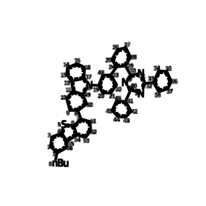 CCCCc1ccc2sc3c(-c4ccc5c6ccccc6n(-c6cccc(-c7ccccc7-c7nc(-c8ccccc8)nc(-c8ccccc8)n7)c6)c5c4)cccc3c2c1